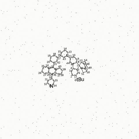 CC(C)(C)c1ccc2c(c1)C1(c3ccc(-c4cccc(-c5cccc(-c6c7ccccc7c(-c7ccncc7)c7ccccc67)c5)c4)cc3-2)C2CC3CC(C2)CC1C3